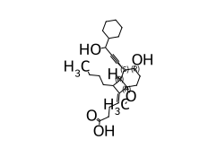 CCCCC1C(=CCCC(=O)O)[C@@]2(OC)CC[C@@H](O)[C@H](C#CC(O)C3CCCCC3)[C@@H]12